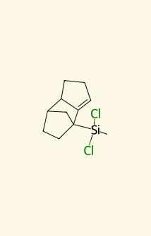 C[Si](Cl)(Cl)C12CCC(C1)C1CCC=C12